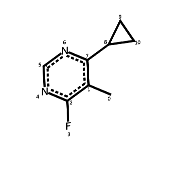 Cc1c(F)n[c]nc1C1CC1